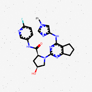 CC(C)n1cnc(Nc2nc(N3C[C@@H](O)C[C@H]3C(=O)Nc3ccc(F)nc3)nc3c2CCC3)c1